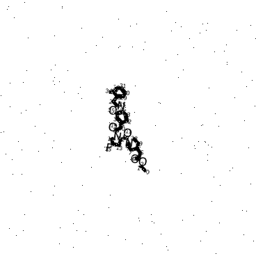 CCOC(=O)CC1CCN(C(=O)[C@@H]2C[C@H](F)CN2C(=O)Cc2ccc3nc(Cc4ccccc4C)oc3c2)CC1